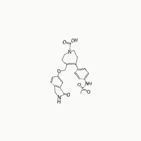 CS(=O)(=O)Nc1ccc(C2=C(COc3ccc4c(c3)C(=O)NC4)CCN(C(=O)O)CC2)cc1